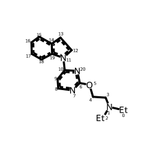 CCN(CC)CCOc1nccc(-n2ccc3ccccc32)n1